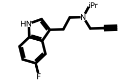 C#CCN(CCc1c[nH]c2ccc(F)cc12)C(C)C